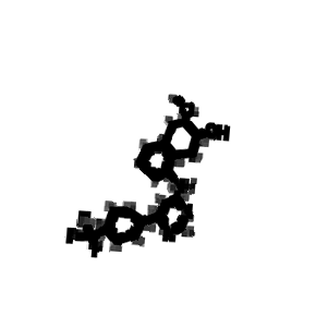 COC1Cc2cccc(Nc3cc(-c4ccc(C(F)(F)F)cc4)ncn3)c2CC1O